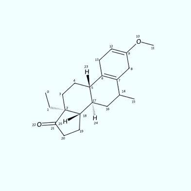 CC[C@]12CC[C@@H]3C4=C(CC(OC)=CC4)C(C)C[C@H]3[C@@H]1CCC2=O